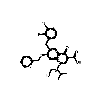 CC(C)[C@@H](CO)n1cc(C(=O)O)c(=O)c2cc(Cc3cccc(Cl)c3F)c(OCc3ccccn3)cc21